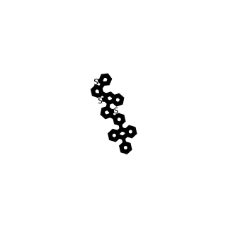 c1ccc(-c2c3ccccc3c(-c3ccc4sc5c(-c6c7ccccc7cc7c6sc6ccc8sc9ccccc9c8c67)cccc5c4c3)c3ccccc23)cc1